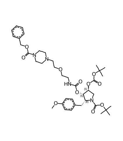 COc1ccc(C[C@@H]2[C@H](OC(=O)NCCOCCN3CCN(C(=O)OCc4ccccc4)CC3)[C@@H](OC(=O)OC(C)(C)C)CN2C(=O)OC(C)(C)C)cc1